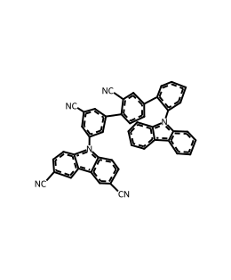 N#Cc1cc(-c2ccc(-c3ccccc3-n3c4ccccc4c4ccccc43)cc2C#N)cc(-n2c3ccc(C#N)cc3c3cc(C#N)ccc32)c1